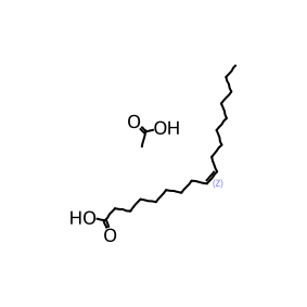 CC(=O)O.CCCCCCCC/C=C\CCCCCCCC(=O)O